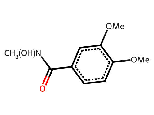 COc1ccc(C(=O)N(C)O)cc1OC